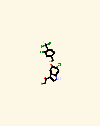 O=C(CCl)c1c[nH]c2cc(Cl)c(OCc3ccc(C(F)(F)F)c(F)c3)cc12